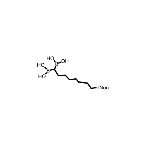 CCCCCCCCCCCCCCCCC(B(O)O)B(O)O